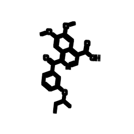 CCC(C)Oc1cccc(C(=O)c2ncc(C(=O)O)c3cc(OC)c(OC)cc23)c1